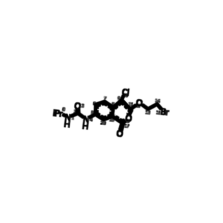 CC(C)NC(=O)Nc1ccc2c(Cl)c(OCCBr)oc(=O)c2c1